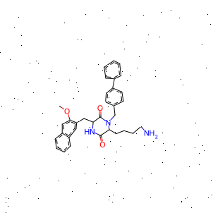 COc1cc2ccccc2cc1CC1NC(=O)C(CCCCN)N(Cc2ccc(-c3ccccc3)cc2)C1=O